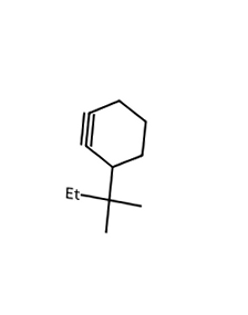 CCC(C)(C)C1C#CCCC1